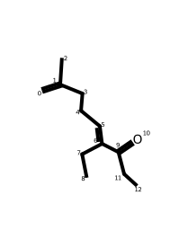 C=C(C)CC/C=C(\CC)C(=O)CC